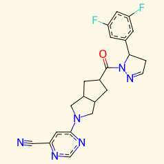 N#Cc1cc(N2CC3CC(C(=O)N4N=CCC4c4cc(F)cc(F)c4)CC3C2)ncn1